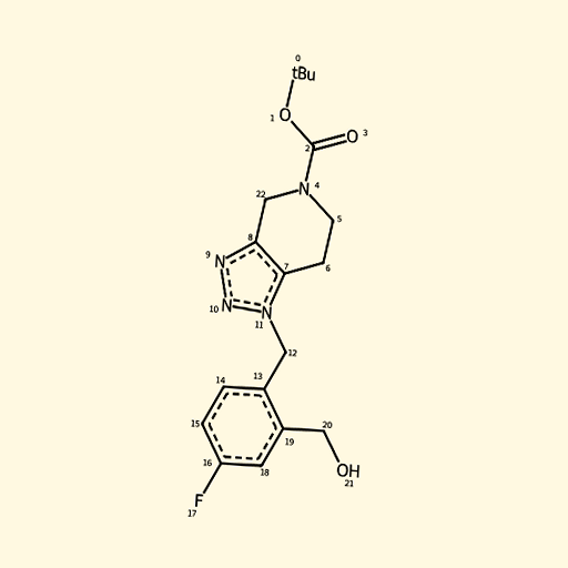 CC(C)(C)OC(=O)N1CCc2c(nnn2Cc2ccc(F)cc2CO)C1